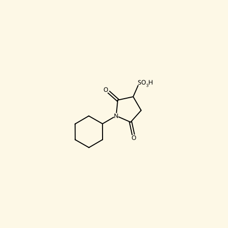 O=C1CC(S(=O)(=O)O)C(=O)N1C1CCCCC1